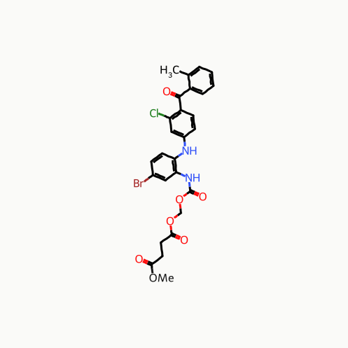 COC(=O)CCC(=O)OCOC(=O)Nc1cc(Br)ccc1Nc1ccc(C(=O)c2ccccc2C)c(Cl)c1